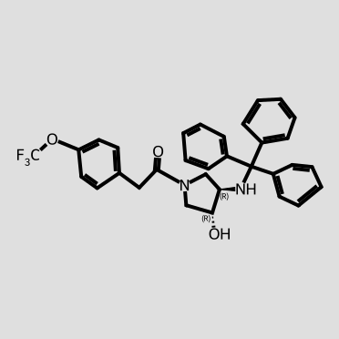 O=C(Cc1ccc(OC(F)(F)F)cc1)N1C[C@@H](O)[C@H](NC(c2ccccc2)(c2ccccc2)c2ccccc2)C1